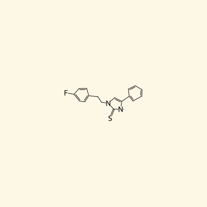 Fc1ccc(CCN2C=C(c3ccccc3)[N]C2=S)cc1